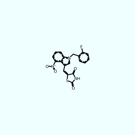 O=C1NC(=O)/C(=C\c2cn(Cc3ccccc3F)c3cccc([N+](=O)[O-])c23)S1